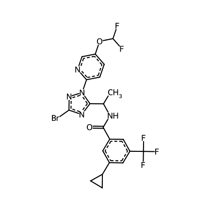 CC(NC(=O)c1cc(C2CC2)cc(C(F)(F)F)c1)c1nc(Br)nn1-c1ccc(OC(F)F)cn1